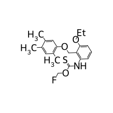 CCOc1cccc(NC(=S)OCF)c1COc1cc(C)c(C)cc1C